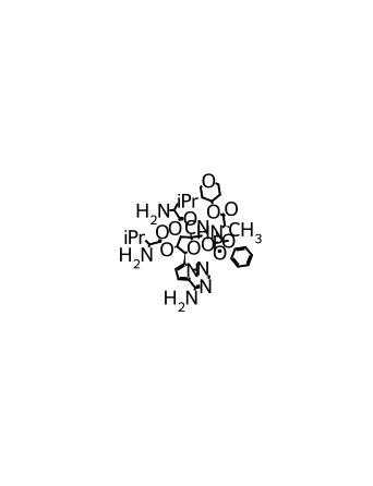 CC(C)C(N)C(=O)O[C@H]1[C@H](c2ccc3c(N)ncnn23)O[C@@](C#N)(COP(=O)(N[C@@H](C)C(=O)OC2CCOCC2)Oc2ccccc2)[C@H]1OC(=O)C(N)C(C)C